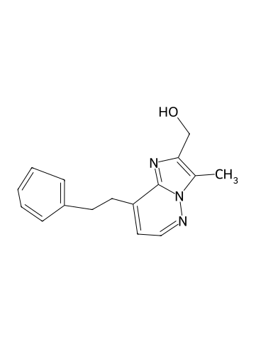 Cc1c(CO)nc2c(CCc3ccccc3)ccnn12